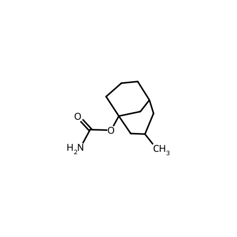 CC1CC2CCCC(OC(N)=O)(C1)C2